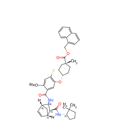 COc1cc(F)c(O[C@H]2CC[C@@](C)(C(=O)OCc3cccc4ccccc34)CC2)cc1C(=O)N[C@H]1[C@@H](C(=O)N[C@H]2CCCC2(C)C)[C@@H]2C=C[C@H]1C2